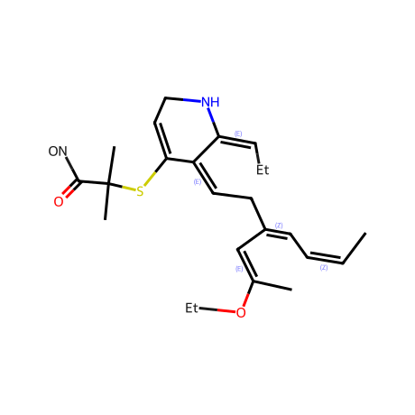 C\C=C/C=C(\C=C(/C)OCC)C/C=C1/C(SC(C)(C)C(=O)N=O)=CCN/C1=C/CC